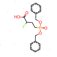 O=C(O)C(F)CCP(=O)(OCc1ccccc1)OCc1ccccc1